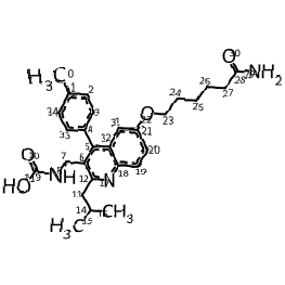 Cc1ccc(-c2c(CNC(=O)O)c(CC(C)C)nc3ccc(OCCCCCC(N)=O)cc23)cc1